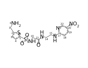 NCc1ccc(S(=O)(=O)NCC(=O)NCCNc2ccc([N+](=O)[O-])cn2)s1